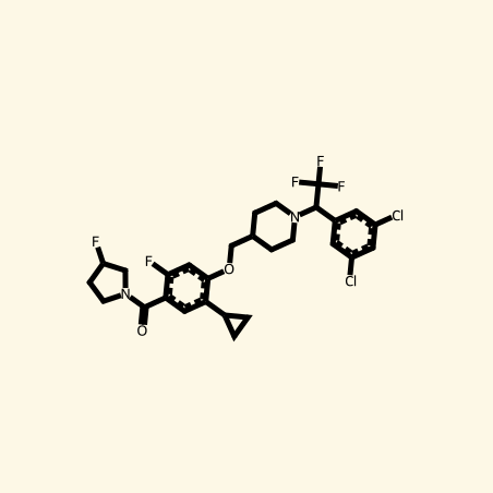 O=C(c1cc(C2CC2)c(OCC2CCN(C(c3cc(Cl)cc(Cl)c3)C(F)(F)F)CC2)cc1F)N1CCC(F)C1